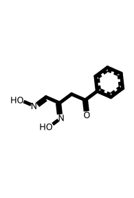 O=C(CC(C=NO)=NO)c1ccccc1